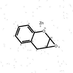 [Zn].c1ccc2c(c1)CC1OC1O2